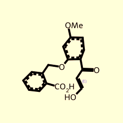 COc1ccc(C(=O)/C=C/O)c(OCc2ccccc2C(=O)O)c1